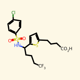 O=C(O)CCCc1ccc(C(CCCC(F)(F)F)NS(=O)(=O)c2ccc(Cl)cc2)s1